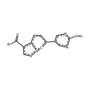 COc1ncc(-c2ccc3c(C(=O)C(C)C)cnn3c2)cn1